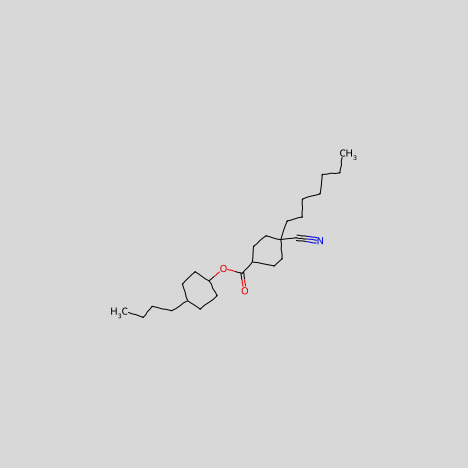 CCCCCCCC1(C#N)CCC(C(=O)OC2CCC(CCCC)CC2)CC1